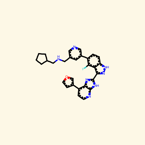 Fc1c(-c2cncc(CNCC3CCCC3)c2)ccc2[nH]nc(-c3nc4c(-c5ccoc5)ccnc4[nH]3)c12